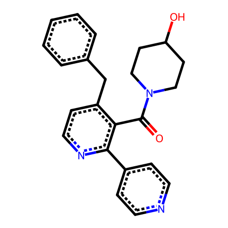 O=C(c1c(Cc2ccccc2)ccnc1-c1ccncc1)N1CCC(O)CC1